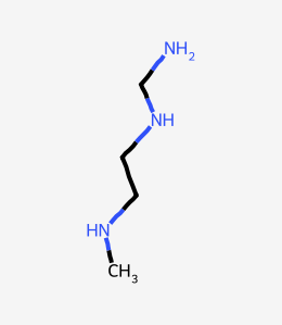 CNCCNCN